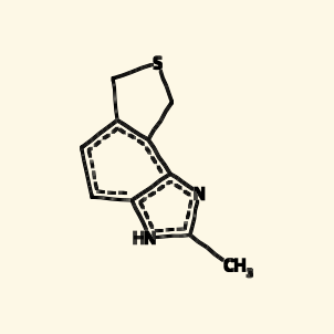 Cc1nc2c3c(ccc2[nH]1)CSC3